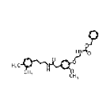 COc1cc(CC(=O)NCCCc2ccc(C)c(C)c2)ccc1OCCNC(=O)OCc1ccccc1